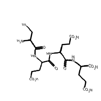 NC(CS)C(=O)NC(CCC(=O)O)C(=O)NC(CCC(=O)O)C(=O)NC(CCC(=O)O)C(=O)O